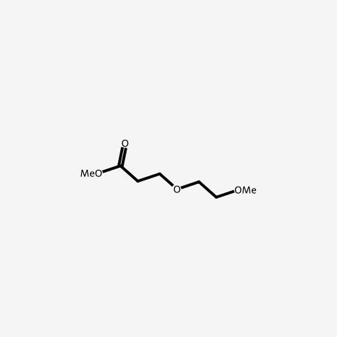 COCCOCCC(=O)OC